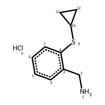 Cl.NCc1ccccc1SC1CC1